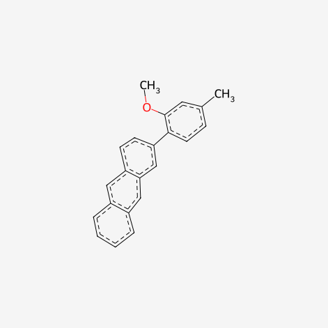 COc1cc(C)ccc1-c1ccc2cc3ccccc3cc2c1